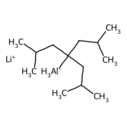 CC(C)C[C]([AlH3-])(CC(C)C)CC(C)C.[Li+]